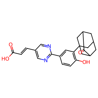 O=C(O)/C=C/c1cnc(-c2ccc(O)c(C34CC5CC(C3)C(=O)C(C5)C4)c2)nc1